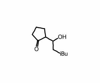 CCC(C)CC(O)C1CCCC1=O